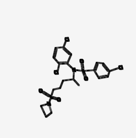 CC(CCCS(=O)(=O)N1CCC1)N(c1cc(Cl)ccc1Cl)S(=O)(=O)c1ccc(Cl)cc1